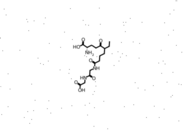 CCC(CCCC(=O)NCC(=O)NCC(=O)O)C(=O)CC[C@H](N)C(=O)O